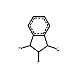 OC1c2ccccc2C(F)C1F